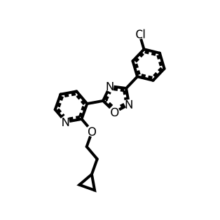 Clc1cccc(-c2noc(-c3cccnc3OCCC3CC3)n2)c1